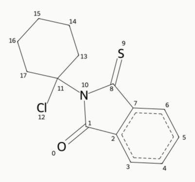 O=C1c2ccccc2C(=S)N1C1(Cl)CCCCC1